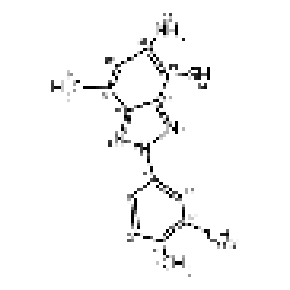 Cc1ccc(-n2nc3c(C)cc(N)c(S)c3n2)cc1C